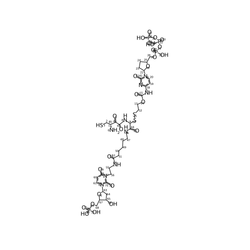 N[C@@H](CS)C(=O)C(=O)NC(SSCCOC(=O)Nc1ccn(C2CCC(COP(=O)(O)OP(=O)(O)OP(=O)(O)O)O2)c(=O)n1)C(=O)NCCCCCC(=O)NCCn1c(=O)ccn(C2CC(O)C(COP(=O)(O)O)O2)c1=O